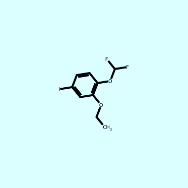 CCOc1cc(I)ccc1OC(F)F